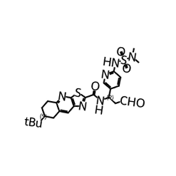 CN(C)S(=O)(=O)Nc1ccc([C@@H](CC=O)NC(=O)c2nc3cc4c(nc3s2)CC[C@H](C(C)(C)C)C4)cn1